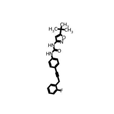 CC(C)(C)c1cc(NC(=O)Nc2ccc(C#CCc3ccccc3F)cc2)no1